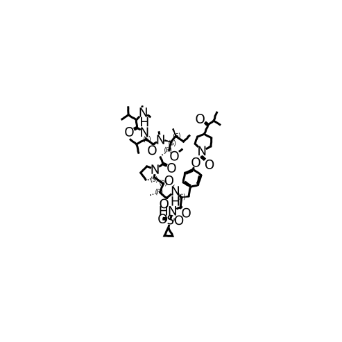 CC[C@H](C)[C@@H]([C@@H](CC(=O)N1CCC[C@H]1[C@H](OC)[C@@H](C)C(=O)N[C@@H](Cc1ccc(OC(=O)N2CCC(C(=O)C(C)C)CC2)cc1)C(=O)NS(=O)(=O)C1CC1)OC)N(C)C(=O)[C@@H](NC(=O)C(C(C)C)N(C)C)C(C)C